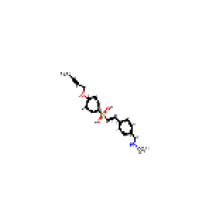 CC#CCOc1ccc(S(=O)(=O)/C=C/c2ccc(CNC(=O)O)cc2)cc1